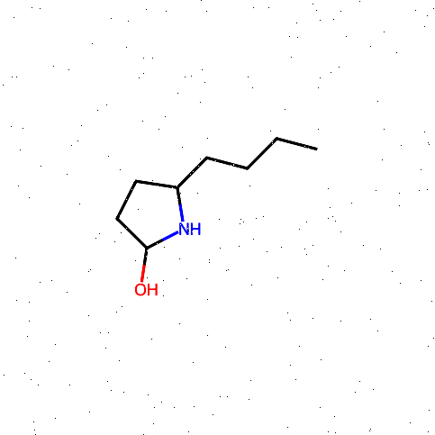 CCCCC1CCC(O)N1